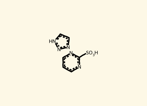 O=S(=O)(O)c1ncccn1.c1c[nH]nn1